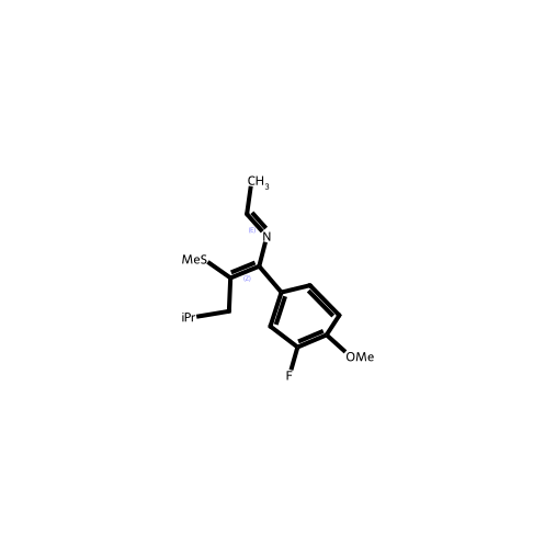 C/C=N/C(=C(/CC(C)C)SC)c1ccc(OC)c(F)c1